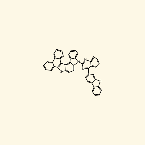 c1ccc2c(-c3ccc4c(c3)oc3ccccc34)nc(-n3c4ccccc4c4c5c(ccc43)sc3c4ccccc4c4ccccc4c35)nc2c1